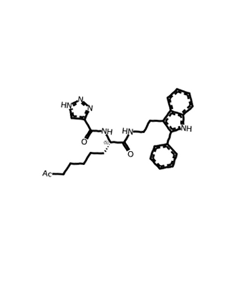 CC(=O)CCCCC[C@H](NC(=O)c1c[nH]nn1)C(=O)NCCc1c(-c2ccccc2)[nH]c2ccccc12